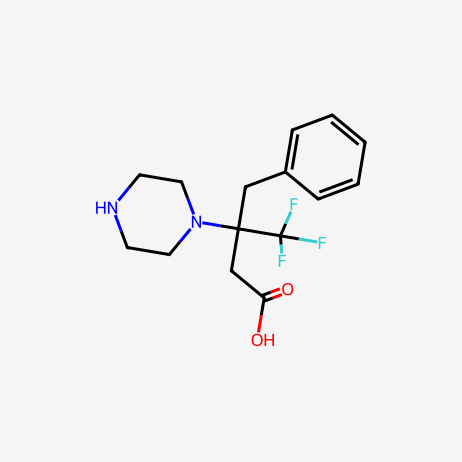 O=C(O)CC(Cc1ccccc1)(N1CCNCC1)C(F)(F)F